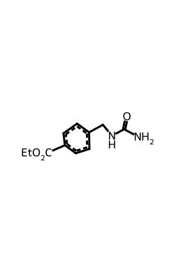 CCOC(=O)c1ccc(CNC(N)=O)cc1